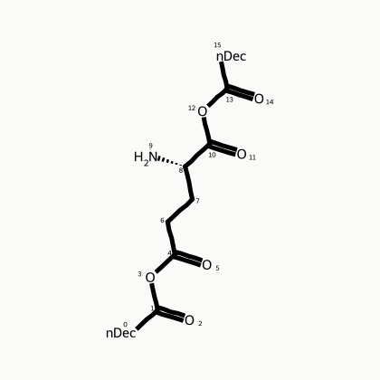 CCCCCCCCCCC(=O)OC(=O)CC[C@H](N)C(=O)OC(=O)CCCCCCCCCC